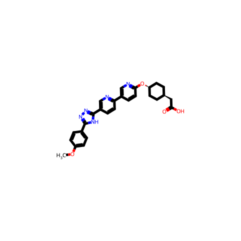 COc1ccc(-c2nnc(-c3ccc(-c4ccc(O[C@H]5CC[C@H](CC(=O)O)CC5)nc4)nc3)[nH]2)cc1